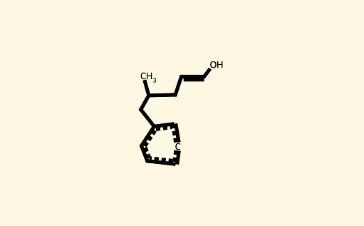 CC(CC=CO)Cc1ccccc1